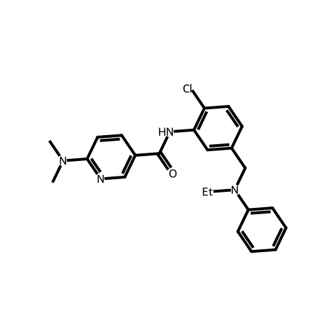 CCN(Cc1ccc(Cl)c(NC(=O)c2ccc(N(C)C)nc2)c1)c1ccccc1